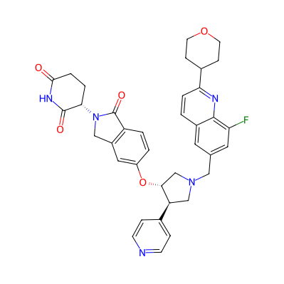 O=C1CC[C@H](N2Cc3cc(O[C@@H]4CN(Cc5cc(F)c6nc(C7CCOCC7)ccc6c5)C[C@H]4c4ccncc4)ccc3C2=O)C(=O)N1